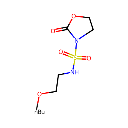 CCCCOCCNS(=O)(=O)N1CCOC1=O